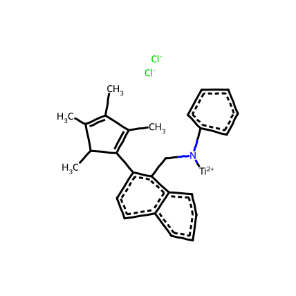 CC1=C(C)C(C)C(c2ccc3ccccc3c2C[N]([Ti+2])c2ccccc2)=C1C.[Cl-].[Cl-]